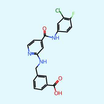 O=C(O)c1cccc(CNc2cc(C(=O)Nc3ccc(F)c(Cl)c3)ccn2)c1